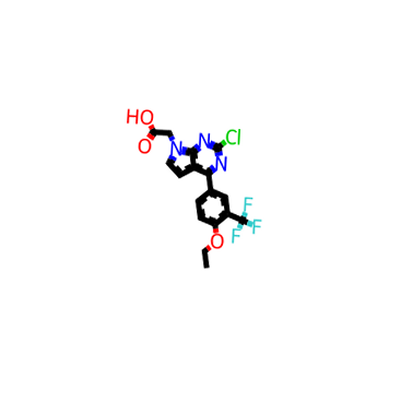 CCOc1ccc(-c2nc(Cl)nc3c2ccn3CC(=O)O)cc1C(F)(F)F